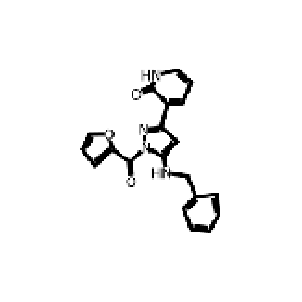 O=C(c1ccco1)n1nc(-c2ccc[nH]c2=O)cc1NCc1ccccc1